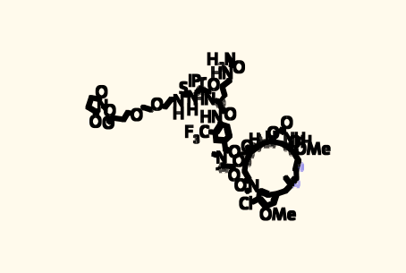 COc1cc2cc(c1Cl)N(C)C(=O)C[C@H](OC(=O)[C@H](C)N(C)C(=O)c1ccc(NC(=O)[C@H](CCCNC(N)=O)NC(=O)[C@@H](NC(=S)NCCOCCOCCC(=O)ON3C(=O)CCC3=O)C(C)C)c(C(F)(F)F)c1)[C@]1(C)O[C@H]1[C@H](C)[C@@H]1C[C@@](O)(NC(=O)O1)[C@H](OC)/C=C/C=C(\C)C2